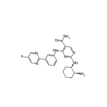 NC(=O)c1cnc(N[C@@H]2CCCC[C@@H]2N)nc1Nc1cccc(-c2ncc(F)cn2)c1